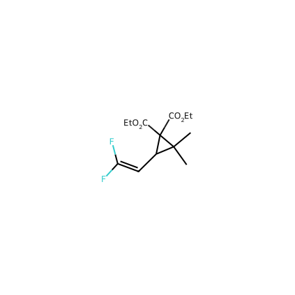 CCOC(=O)C1(C(=O)OCC)C(C=C(F)F)C1(C)C